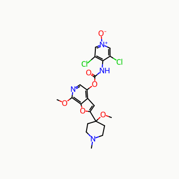 COc1ncc(OC(=O)Nc2c(Cl)c[n+]([O-])cc2Cl)c2cc(C3(OC)CCN(C)CC3)oc12